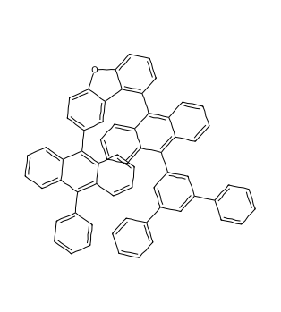 c1ccc(-c2cc(-c3ccccc3)cc(-c3c4ccccc4c(-c4cccc5oc6ccc(-c7c8ccccc8c(-c8ccccc8)c8ccccc78)cc6c45)c4ccccc34)c2)cc1